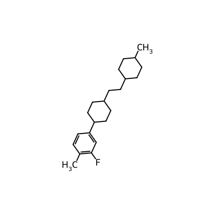 Cc1ccc(C2CCC(CCC3CCC(C)CC3)CC2)cc1F